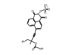 CCCC(=O)OC(C)(C#Cc1ccc2c3c(cccc13)C(=O)N(OS(=O)(=O)C(F)(F)F)C2=O)CC(C)C